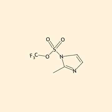 Cc1nccn1S(=O)(=O)OC(F)(F)F